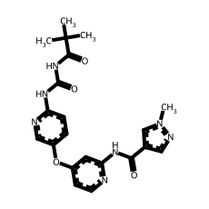 Cn1cc(C(=O)Nc2cc(Oc3ccc(NC(=O)NC(=O)C(C)(C)C)nc3)ccn2)cn1